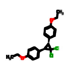 CCOc1ccc([C@H]2[C@H](c3ccc(OCC)cc3)C2(Cl)Cl)cc1